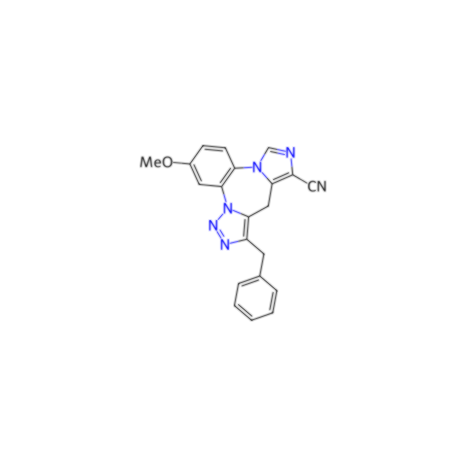 COc1ccc2c(c1)-n1nnc(Cc3ccccc3)c1Cc1c(C#N)ncn1-2